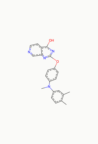 Cc1ccc(N(C)c2ccc(Oc3nc(O)c4ccncc4n3)cc2)cc1C